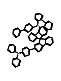 c1ccc(-c2ccc(N(c3ccccc3-c3ccccc3)c3cccc4c3-c3ccccc3C43c4ccccc4-c4ccc(-c5ccc(N(c6ccccc6)c6ccccc6)cc5)cc43)cc2)cc1